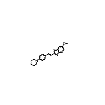 COc1ccc2nc(C=Cc3ccc(N4CCCCC4)cc3)sc2c1